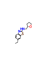 CCc1ccc2nc(NCC3CCCO3)sc2c1